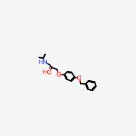 CC(C)NC[C@H](O)COc1ccc(OCc2ccccc2)cc1